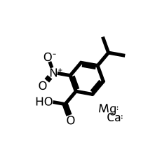 CC(C)c1ccc(C(=O)O)c([N+](=O)[O-])c1.[Ca].[Mg]